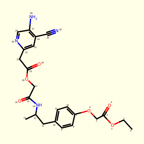 CCOC(=O)COc1ccc(CC(C)NC(=O)COC(=O)Cc2cc(C#N)c(N)cn2)cc1